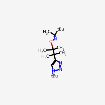 CC(=NOC(C)(C)C(C)(C)c1cn(C(C)(C)C)nn1)C(C)(C)C